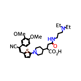 CCN(CC)CCCNC(=O)CC(C(=O)O)C1CCN(c2ccc(C=C(C#N)c3ccc(OC)c(OC)c3)s2)CC1